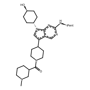 CCC[C@H](C)Nc1ncc2c(C3CCN(C(=O)C4CCCN(C)C4)CC3)cn([C@H]3CC[C@H](O)CC3)c2n1